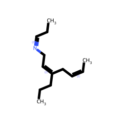 C/C=C\C/C(=C\C/N=C\CC)CCC